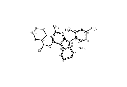 CCC(Oc1nc(C)nc2c1c1ccccc1n2-c1c(C)cc(C)cc1C)C1CCCNC1